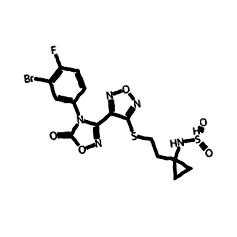 O=c1onc(-c2nonc2SCCC2(N[SH](=O)=O)CC2)n1-c1ccc(F)c(Br)c1